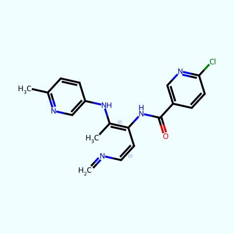 C=N/C=C\C(NC(=O)c1ccc(Cl)nc1)=C(/C)Nc1ccc(C)nc1